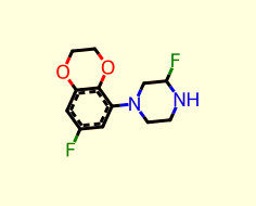 Fc1cc2c(c(N3CCNC(F)C3)c1)OCCO2